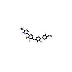 N#Cc1ccc(-c2ccc(Cc3ccc(-c4ccc(C#N)c(I)c4)c(I)c3I)c(I)c2I)cc1I